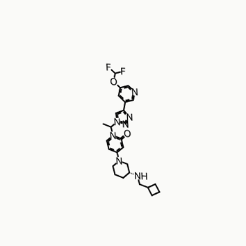 CC(n1cc(-c2cncc(OC(F)F)c2)nn1)n1ccc(N2CCC[C@@H](NCC3CCC3)C2)cc1=O